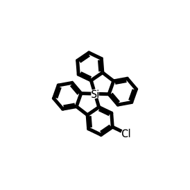 Clc1ccc2c(c1)[Si]1(c3ccccc3-c3ccccc31)c1ccccc1-2